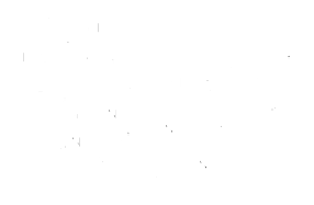 CC(C)(O)c1ccn2c(-c3ccnc(-c4ccc(F)cc4F)n3)cnc2c1F